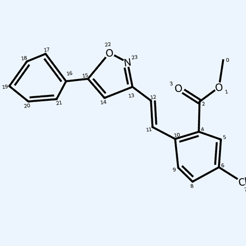 COC(=O)c1cc(Cl)ccc1C=Cc1cc(-c2ccccc2)on1